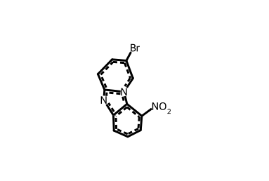 O=[N+]([O-])c1cccc2nc3ccc(Br)cn3c12